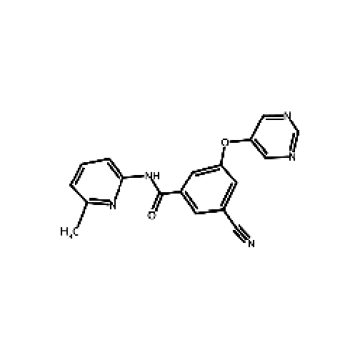 Cc1cccc(NC(=O)c2cc(C#N)cc(Oc3cncnc3)c2)n1